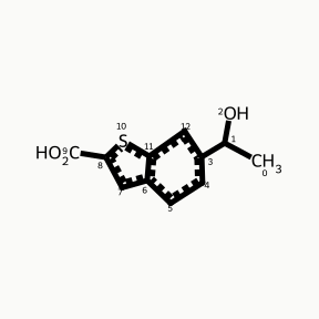 CC(O)c1ccc2cc(C(=O)O)sc2c1